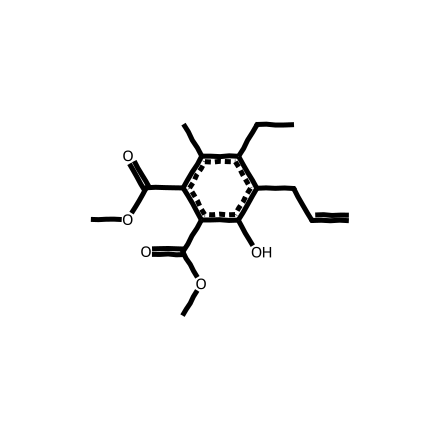 C=CCc1c(O)c(C(=O)OC)c(C(=O)OC)c(C)c1CC